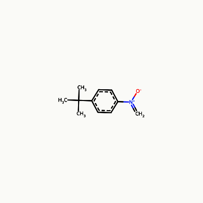 C=[N+]([O-])c1ccc(C(C)(C)C)cc1